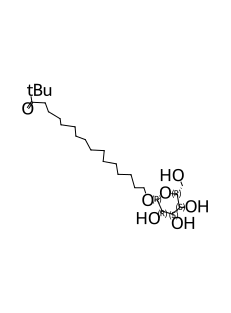 CC(C)(C)C(=O)CCCCCCCCCCCCCCCO[C@@H]1O[C@H](CO)[C@@H](O)[C@H](O)[C@H]1O